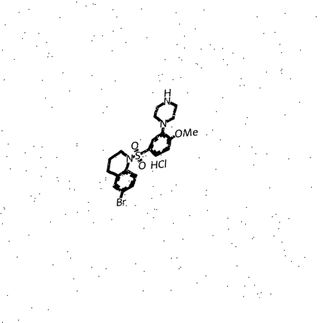 COc1ccc(S(=O)(=O)N2CCCc3cc(Br)ccc32)cc1N1CCNCC1.Cl